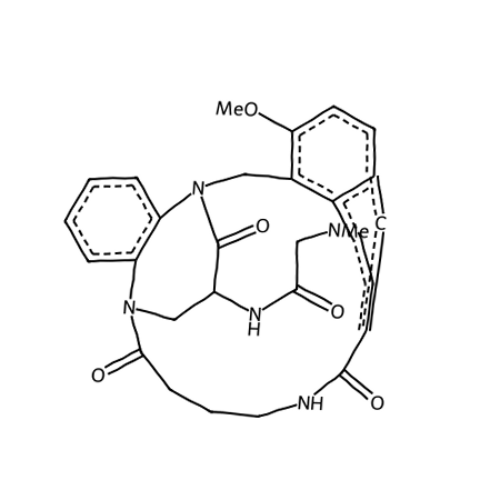 CNCC(=O)NC1CN2C(=O)CCCNC(=O)c3ccc4c(c(OC)ccc4c3)CN(C1=O)c1ccccc12